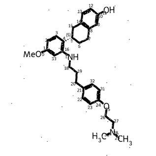 COc1ccc([C@H]2CCc3cc(O)ccc3C2)c(NCCCc2ccc(OCCN(C)C)cc2)c1